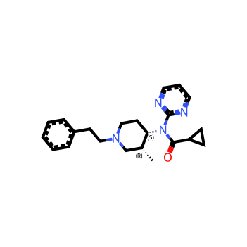 C[C@@H]1CN(CCc2ccccc2)CC[C@@H]1N(C(=O)C1CC1)c1ncccn1